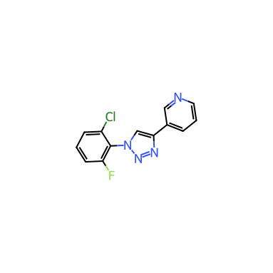 Fc1cccc(Cl)c1-n1cc(-c2cccnc2)nn1